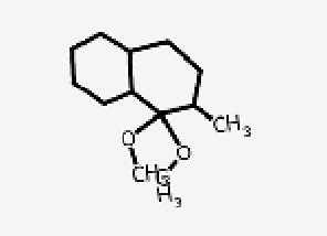 COC1(OC)C(C)CCC2CCCCC21